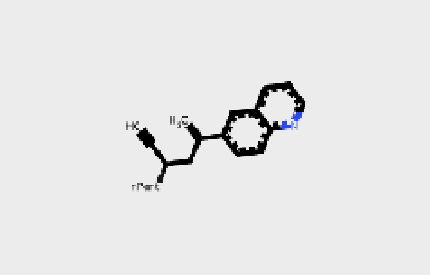 C#CC(CCCCC)CC(=C)c1ccc2ncccc2c1